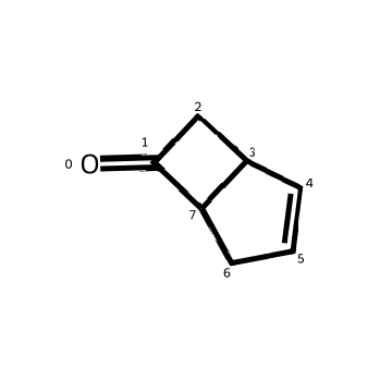 O=C1CC2C=CCC12